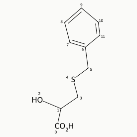 O=C(O)C(O)CSCc1ccccc1